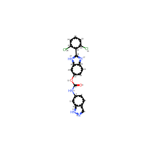 O=C(Nc1ccc2cn[nH]c2c1)Oc1ccc2nc(-c3c(Cl)cccc3Cl)[nH]c2c1